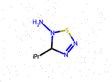 CC(C)C1N=NSN1N